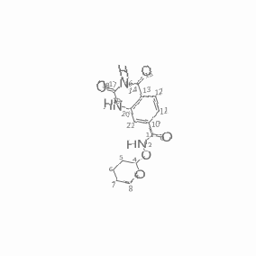 O=C(NOC1CCCCO1)c1ccc2c(=O)[nH]c(=O)[nH]c2c1